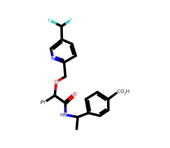 CC(NC(=O)C(OCc1ccc(C(F)F)cn1)C(C)C)c1ccc(C(=O)O)cc1